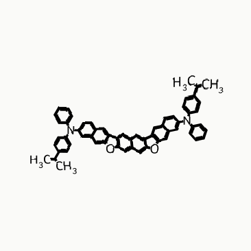 CC(C)c1ccc(N(c2ccccc2)c2ccc3cc4c(cc3c2)oc2cc3cc5oc6cc7cc(N(c8ccccc8)c8ccc(C(C)C)cc8)ccc7cc6c5cc3cc24)cc1